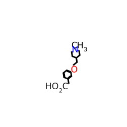 CN1CCC(CCOc2cccc(CC(=O)O)c2)CC1